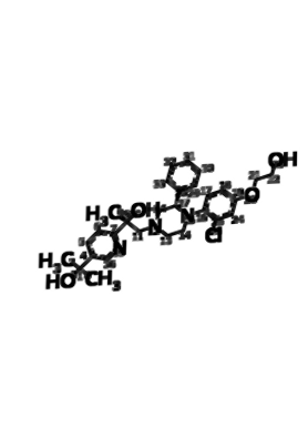 CC(C)(O)c1ccc([C@](C)(O)CN2CCN(c3ccc(OCCO)cc3Cl)[C@H](c3ccccc3)C2)nc1